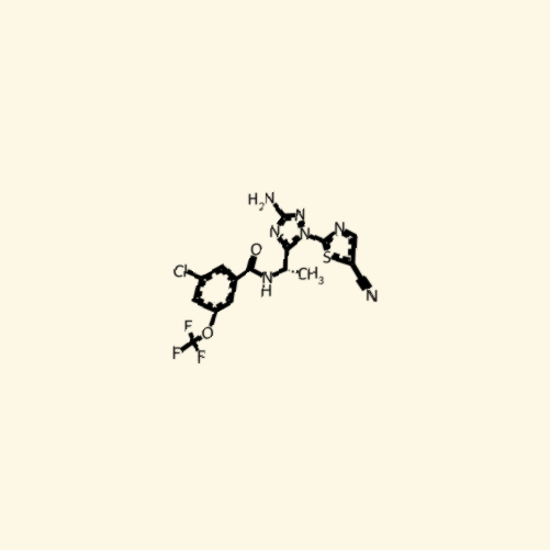 C[C@H](NC(=O)c1cc(Cl)cc(OC(F)(F)F)c1)c1nc(N)nn1-c1ncc(C#N)s1